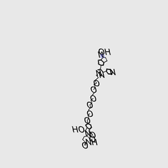 O=C1CCC(N2C(=O)c3ccc(OCCOCCOCCOCCOCCOCCCn4cc(-c5ccc6c(c5)CC/C6=N\O)c(-c5ccncc5)n4)cc3C2O)C(=O)N1